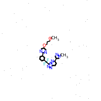 COCCCOc1cnc(-c2cccc(C(F)(F)c3nnc4ccc(-c5cnn(C)c5)nn34)c2)nc1